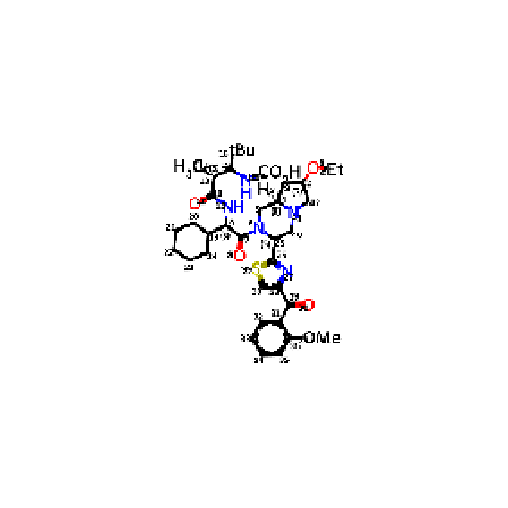 CCO[C@@H]1C[C@@H]2CN(C(=O)[C@@H](NC(=O)[C@@H](C)C(NC(=O)O)C(C)(C)C)C3CCCCC3)[C@H](c3nc(C(=O)c4ccccc4OC)cs3)CN2C1